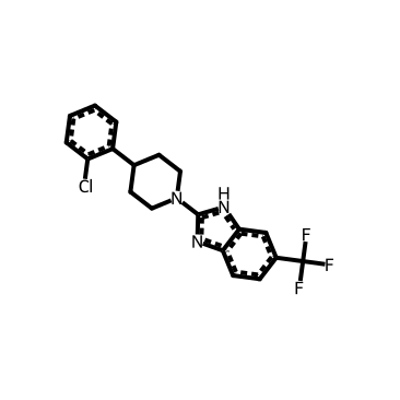 FC(F)(F)c1ccc2nc(N3CCC(c4ccccc4Cl)CC3)[nH]c2c1